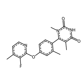 Cc1cc(Oc2nccc(C)c2F)ccc1-c1c(C)c(=O)[nH]c(=O)n1C